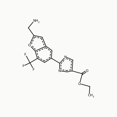 CCOC(=O)c1cnc(-c2cc(C(F)(F)F)c3oc(CN)cc3c2)nc1